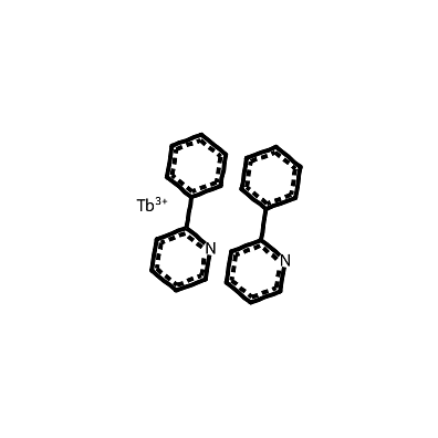 [Tb+3].c1ccc(-c2ccccn2)cc1.c1ccc(-c2ccccn2)cc1